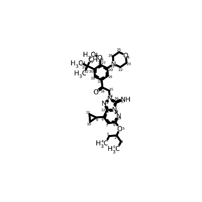 CCC(CC)Oc1cc(C2CC2)c2nn(CC(=O)c3cc(N4CCOCC4)c(OC)c(C(C)(C)C)c3)c(=N)n2n1